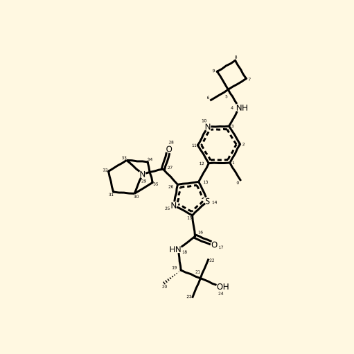 Cc1cc(NC2(C)CCC2)ncc1-c1sc(C(=O)N[C@@H](C)C(C)(C)O)nc1C(=O)N1C2CCC1CC2